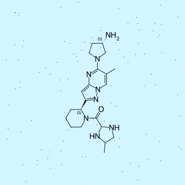 Cc1cn2nc([C@@H]3CCCCN3C(=O)C3NCC(C)N3)cc2nc1N1CC[C@H](N)C1